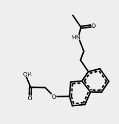 CC(=O)NCCc1cccc2ccc(OCC(=O)O)cc12